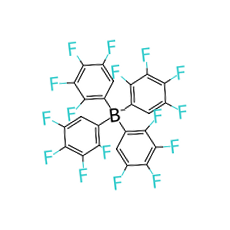 Fc1cc([B-](c2cc(F)c(F)c(F)c2F)(c2cc(F)c(F)c(F)c2F)c2cc(F)c(F)c(F)c2F)c(F)c(F)c1F